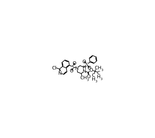 CC(CN(CCS(=O)(=O)c1ccccc1)S(=O)(=O)c1cccc2c(Cl)nccc12)NC(=O)OC(C)(C)C